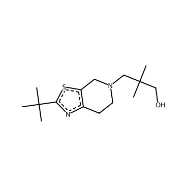 CC(C)(CO)CN1CCc2nc(C(C)(C)C)sc2C1